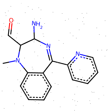 CN1c2ccccc2C(c2ccccn2)=NC(N)C1C=O